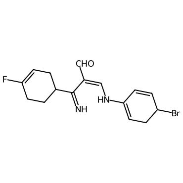 N=C(/C(C=O)=C\NC1=CCC(Br)C=C1)C1CC=C(F)CC1